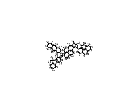 Cc1c(C)n(-c2ccc3ccc4cccc5ccc2c3c45)c2c1cc1ccc3c(N(c4ccc5c(c4)C(C)(C)c4ccccc4-5)c4ccc5cc6ccccc6cc5c4)ccc4ccc2c1c43